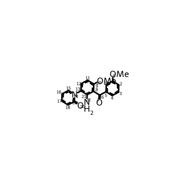 COc1cccc(C(=O)c2c(OC)ccc(-n3ccccc3=O)c2N)c1